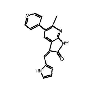 Cc1nc2c(cc1-c1ccncc1)C(=Cc1ccc[nH]1)C(=O)N2